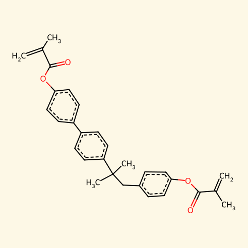 C=C(C)C(=O)Oc1ccc(CC(C)(C)c2ccc(-c3ccc(OC(=O)C(=C)C)cc3)cc2)cc1